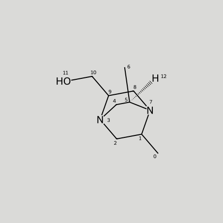 CC1CN2C[C@@H](C)N1CC2CO